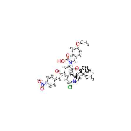 COc1ccc(CN(C(=O)O)[C@H](CCC(=O)Cc2ccc([N+](=O)[O-])cc2)[C@H](O[Si](C)(C)C(C)(C)C)c2ccc(Cl)nc2)cc1